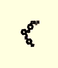 O=C(O)N1CCC(Oc2ccccc2/C=N/c2ccc(Br)cc2)CC1